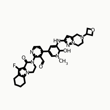 CN1C=C(c2ccnc(N3CCn4c5c(c(F)c4C3=O)CCCC5)c2C=O)C=C(Nc2cc3n(n2)CCN(C2COC2)C3)C1O